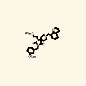 COCCN1C(=O)N(Cc2cccc(OC)c2)C(=O)C12CCN(Cc1cccc3cccnc13)CC2